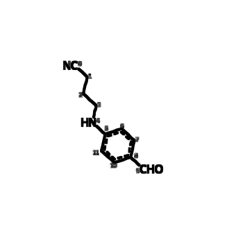 N#CCCCNc1ccc(C=O)cc1